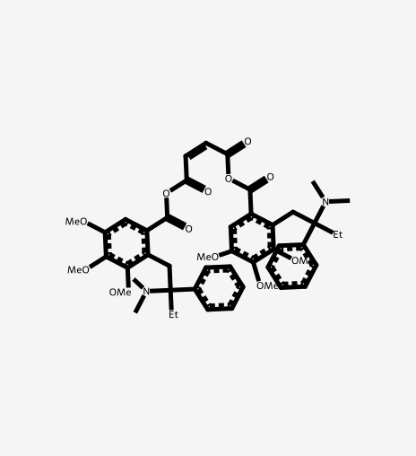 CCC(Cc1c(C(=O)OC(=O)/C=C\C(=O)OC(=O)c2cc(OC)c(OC)c(OC)c2CC(CC)(c2ccccc2)N(C)C)cc(OC)c(OC)c1OC)(c1ccccc1)N(C)C